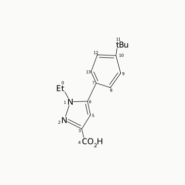 CCn1nc(C(=O)O)cc1-c1ccc(C(C)(C)C)cc1